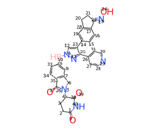 O=C1CCC(N2Cc3cc(Bn4cc(-c5ccc6c(c5)CC/C6=N\O)c(-c5ccncc5)n4)ccc3C2=O)C(=O)N1